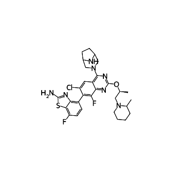 CC1CCCCN1C[C@H](C)Oc1nc(N2CC3CCC(C2)N3)c2cc(Cl)c(-c3ccc(F)c4sc(N)nc34)c(F)c2n1